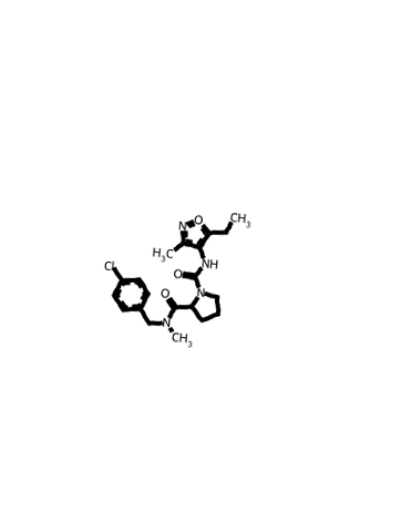 CCc1onc(C)c1NC(=O)N1CCCC1C(=O)N(C)Cc1ccc(Cl)cc1